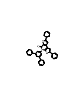 O=c1c2oc(-c3ccccc3)cc2c2cc(-c3ccccc3)oc2n1-c1cc(-c2ccccc2)cc(-c2ccccc2)c1